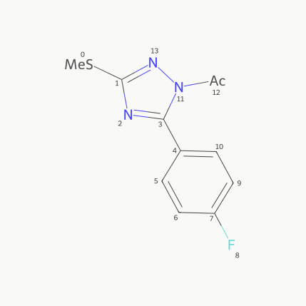 CSc1nc(-c2ccc(F)cc2)n(C(C)=O)n1